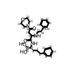 O=C(N[C@@H](CCCc1ccccc1)B(O)O)C(CC(=O)N1CCOCC1)NCCc1ccccc1